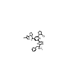 Cc1csc([C@H]2CCCN2C(=O)c2cc(-c3nnc([C@@](C)(N)Cc4ccccc4)o3)nc(N3CCCC3=O)c2)n1